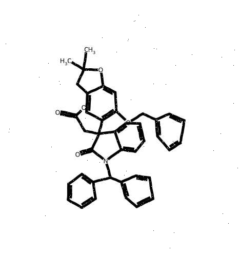 CC1(C)Cc2cc(C3(CC(=O)O)C(=O)N(C(c4ccccc4)c4ccccc4)c4ccccc43)c(OCc3ccccc3)cc2O1